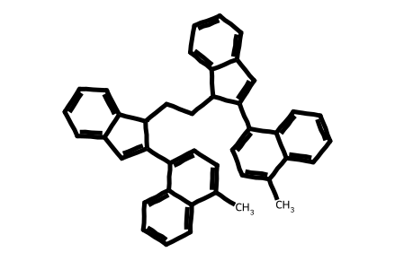 Cc1ccc(C2=Cc3ccccc3[C]2CC[C]2C(c3ccc(C)c4ccccc34)=Cc3ccccc32)c2ccccc12